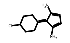 NC1=CC=C(N)C1=C1CCC(Cl)CC1